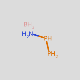 B.NPP